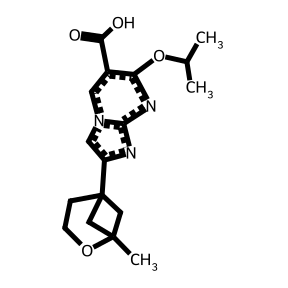 CC(C)Oc1nc2nc(C34CCOC(C)(C3)C4)cn2cc1C(=O)O